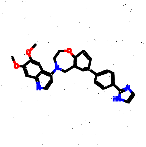 COc1cc2nccc(N3CCOc4ccc(-c5ccc(-c6ncc[nH]6)cc5)cc4C3)c2cc1OC